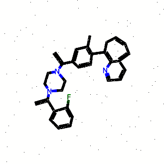 C=C(c1ccc(C2=c3ncccc3=CC=CC2)c(C)c1)N1CCN(C(=C)c2ccccc2F)CC1